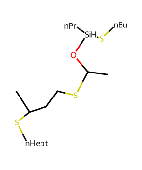 CCCCCCCSC(C)CCSC(C)O[SiH](CCC)SCCCC